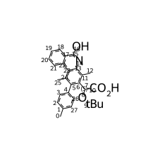 Cc1ccc(-c2c([C@H](OC(C)(C)C)C(=O)O)c(C)c3nc(O)c4ccccc4c3c2C)cc1